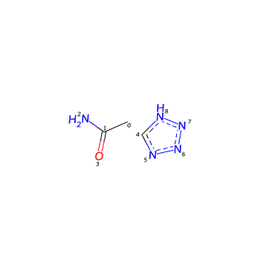 CC(N)=O.c1nnn[nH]1